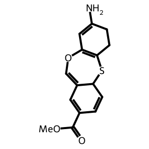 COC(=O)C1=CC2=COC3=C(CCC(N)=C3)SC2C=C1